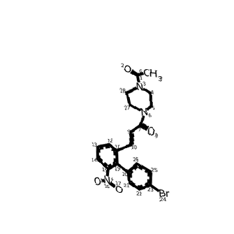 CC(=O)N1CCN(C(=O)/C=C/c2cc[c]c([N+](=O)[O-])c2-c2ccc(Br)cc2)CC1